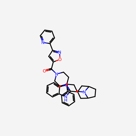 O=C(c1cc(-c2ccccn2)no1)N1CCC(CCN2C3CCC2CC(c2nc4ccccc4[nH]2)C3)(c2ccccc2)CC1